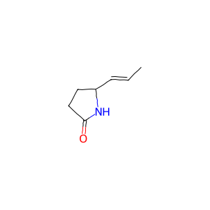 CC=CC1CCC(=O)N1